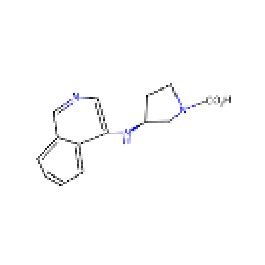 O=C(O)N1CC[C@H](Nc2cncc3ccccc23)C1